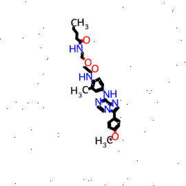 CCCCC(=O)NCCOCC(=O)Nc1ccc(Nc2nccn3c(-c4ccc(OC)cc4)cnc23)cc1C